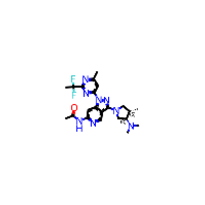 CC(=O)Nc1cc2c(cn1)c(N1C[C@H](C)[C@@H](N(C)C)C1)nn2-c1cc(C)nc(C(C)(F)F)n1